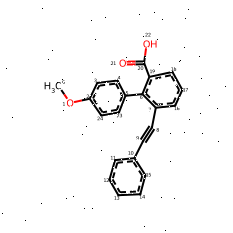 COc1ccc(-c2c(C#Cc3ccccc3)cccc2C(=O)O)cc1